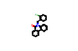 O=c1c2ccccc2c2ccccc2n1Cc1ccccc1Br